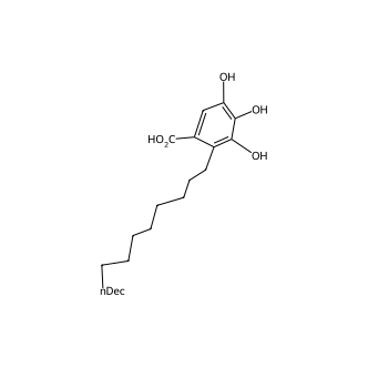 CCCCCCCCCCCCCCCCCCc1c(C(=O)O)cc(O)c(O)c1O